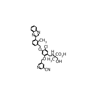 Cc1c(COc2cc(OCc3cncc(C#N)c3)c(CN[C@](C)(CO)C(=O)O)cc2Cl)cccc1-c1cnc2ccccc2n1